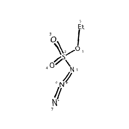 CCOS(=O)(=O)N=[N+]=[N-]